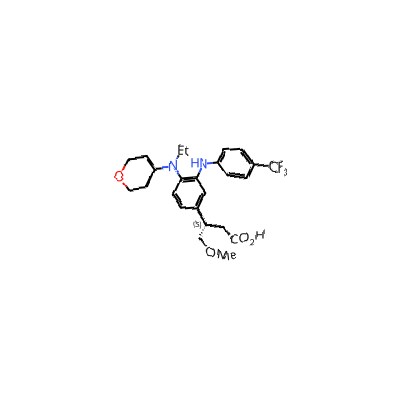 CCN(c1ccc([C@@H](COC)CC(=O)O)cc1Nc1ccc(C(F)(F)F)cc1)C1CCOCC1